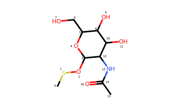 CSOC1OC(CO)C(O)C(O)C1NC(C)=O